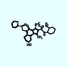 COc1c(C(=O)NC2CCCCC2N)n(C)c2c1c(=O)n(CC(=O)c1ccccc1)c1ccccc21.Cl